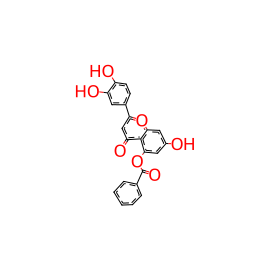 O=C(Oc1cc(O)cc2oc(-c3ccc(O)c(O)c3)cc(=O)c12)c1ccccc1